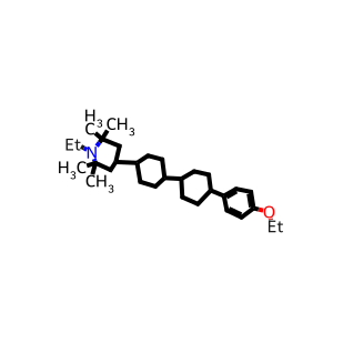 CCOc1ccc(C2CCC(C3CCC(C4CC(C)(C)N(CC)C(C)(C)C4)CC3)CC2)cc1